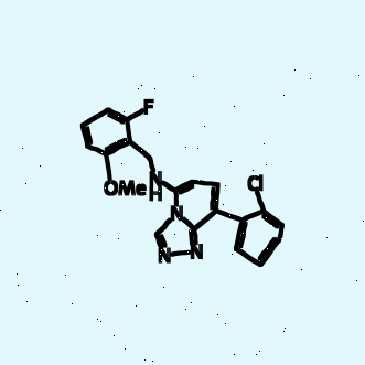 COc1cccc(F)c1CNc1ccc(-c2ccccc2Cl)c2nncn12